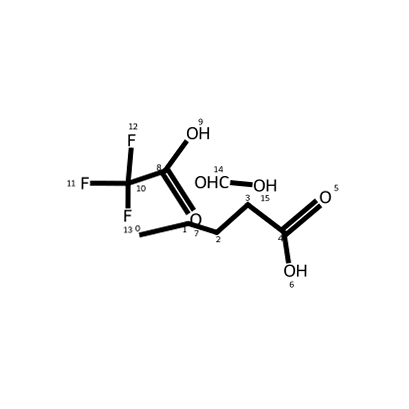 CCCCC(=O)O.O=C(O)C(F)(F)F.O=CO